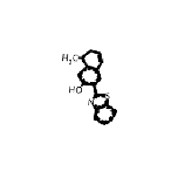 CC1CC=Cc2cc(-c3nc4ccccc4s3)c(O)cc21